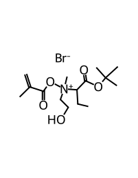 C=C(C)C(=O)O[N+](C)(CCO)C(CC)C(=O)OC(C)(C)C.[Br-]